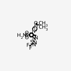 CC(C)C(=O)N1CCN(c2cc(S(N)(=O)=O)cc3c2cnn3-c2nnc(C(F)F)s2)CC1